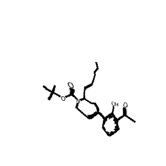 CCCCCC1CC(c2cccc(C(C)=O)c2O)=CCN1C(=O)OC(C)(C)C